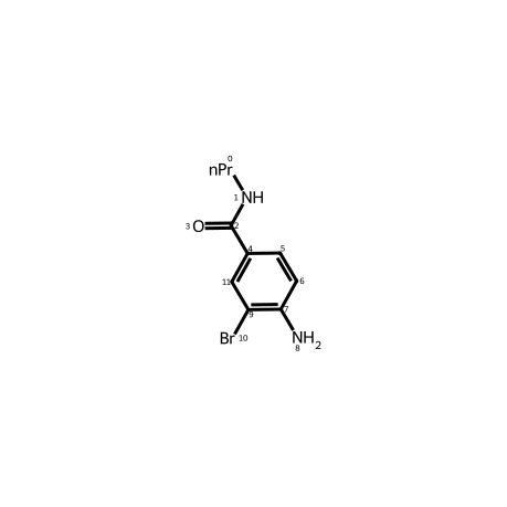 CCCNC(=O)c1ccc(N)c(Br)c1